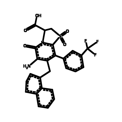 Nc1c(Cc2cccc3ccccc23)c(-c2cccc(C(F)(F)F)c2)c2n(c1=O)C(C(=O)O)CS2(=O)=O